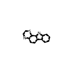 c1ccc2c(c1)nc1c2ccc2nccsc21